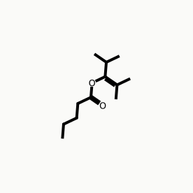 CCCCC(=O)OC(=C(C)C)C(C)C